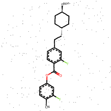 CCCCCCCCC[C@H]1CC[C@H](CCc2ccc(C(=O)Oc3ccc(C#N)c(F)c3)c(F)c2)CC1